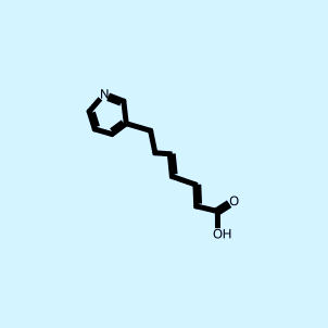 O=C(O)/C=C/C=C/CCc1cccnc1